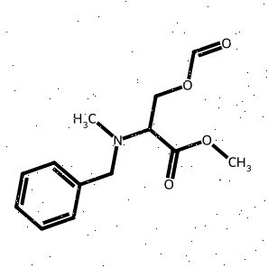 COC(=O)C(COC=O)N(C)Cc1ccccc1